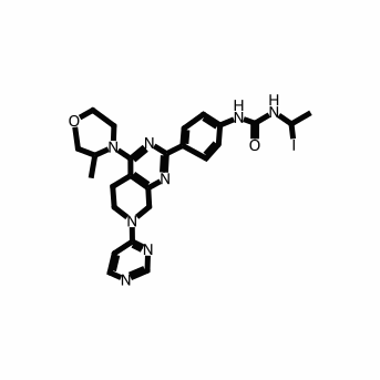 CC(I)NC(=O)Nc1ccc(-c2nc3c(c(N4CCOCC4C)n2)CCN(c2ccncn2)C3)cc1